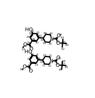 COC(=O)c1cc(O)cc(C2CCN(C(=O)OC(C)(C)C)CC2)c1.COC(=O)c1cc(O)cc(C2CCN(C(=O)OC(C)(C)C)CC2)c1